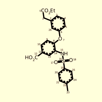 CCOC(=O)Cc1cccc(Oc2ccc(C(=O)O)cc2NS(=O)(=O)c2ccc(C)cc2)c1